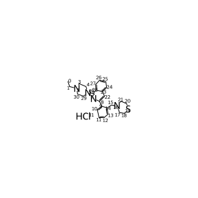 CCN1CCN(c2nc(-c3ccccc3CN3CCSCC3)cc3ccccc23)CC1.Cl